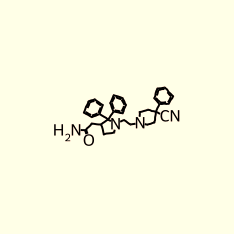 N#CC1(c2ccccc2)CCN(CCN2CCC(CC(N)=O)C2(c2ccccc2)c2ccccc2)CC1